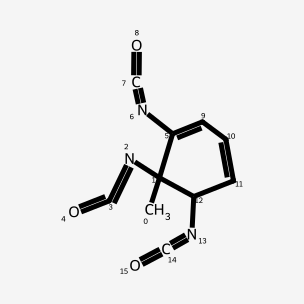 CC1(N=C=O)C(N=C=O)=CC=CC1N=C=O